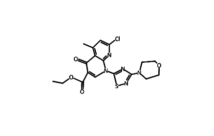 CCOC(=O)c1cn(-c2nc(N3CCOCC3)ns2)c2nc(Cl)cc(C)c2c1=O